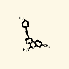 Cc1ccc(C#Cc2cnc3c(N)nc4cc(C)ccc4c3c2)cc1